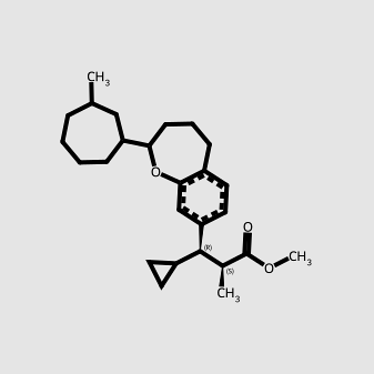 COC(=O)[C@@H](C)[C@H](c1ccc2c(c1)OC(C1CCCCC(C)C1)CCC2)C1CC1